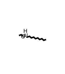 CCCCCCCCC[CH2][AlH][O]CC